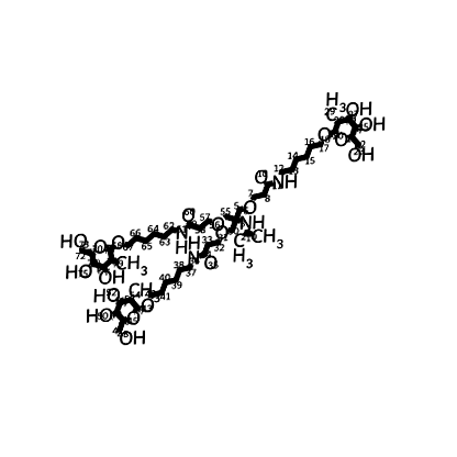 CC(C)NC(COCCC(=O)NCCCCCCO[C@@H]1OC(CO)[C@H](O)[C@H](O)C1C)(COCCC(=O)NCCCCCCO[C@@H]1OC(CO)[C@H](O)[C@H](O)C1C)COCCC(=O)NCCCCCCO[C@@H]1OC(CO)[C@H](O)[C@H](O)C1C